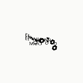 CCN(CC)CCNC(=O)c1ccc(N2CCN(c3ccc(Oc4ccccc4)cc3)C2=O)cc1OC